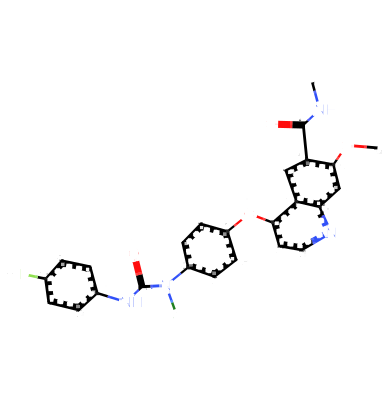 CNC(=O)c1cc2c(Oc3ccc(N(Cl)C(=O)Nc4ccc(F)cc4)cc3)ccnc2cc1OC